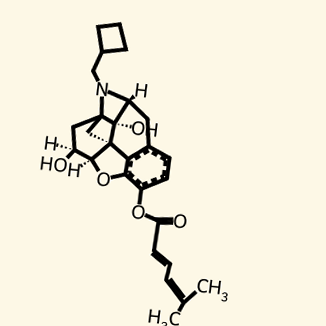 CC(C)=C/C=C/C(=O)Oc1ccc2c3c1O[C@H]1[C@@H](O)CC45C[C@]31[C@]4(O)[C@@H](C2)N5CC1CCC1